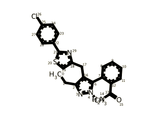 CCc1nn(C)c(-c2ccccc2C(N)=O)c1Cc1csc(-c2ccc(Cl)cc2)n1